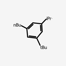 CCCCc1cc([C](C)C)cc(C(C)(C)C)c1